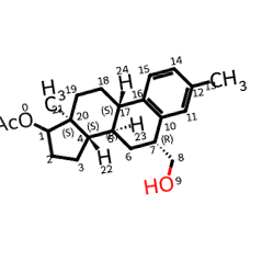 CC(=O)OC1CC[C@H]2[C@@H]3C[C@@H](CO)c4cc(C)ccc4[C@H]3CC[C@]12C